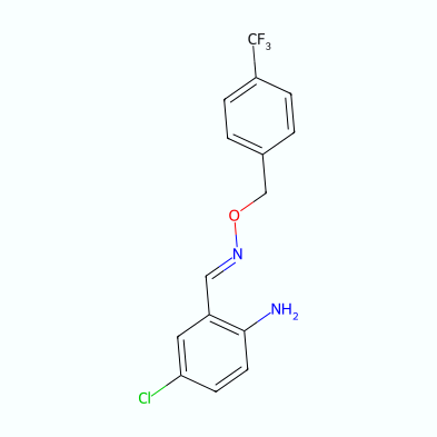 Nc1ccc(Cl)cc1/C=N/OCc1ccc(C(F)(F)F)cc1